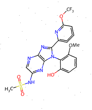 COc1cccc(O)c1-n1c(C2=C=C=CC(OC(F)(F)F)=N2)nc2ncc(NS(C)(=O)=O)nc21